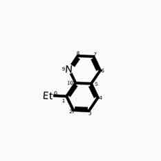 CCc1[c]ccc2cccnc12